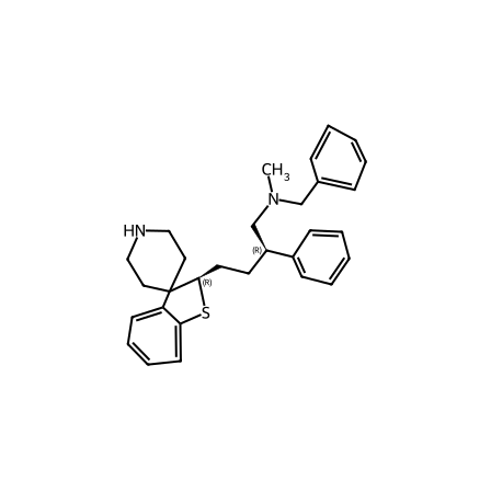 CN(Cc1ccccc1)C[C@H](CC[C@H]1Sc2ccccc2C12CCNCC2)c1ccccc1